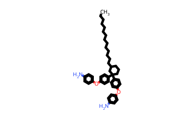 CCCCCCCCCCCCCCC1CCCC(c2ccc(Oc3ccc(N)cc3)cc2)(c2ccc(Oc3ccc(N)cc3)cc2)C1